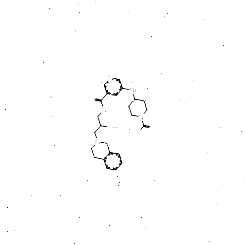 CC(=O)N1CCC(Nc2cncc(C(=O)NCC(O)CN3CCc4ccccc4C3)c2)CC1